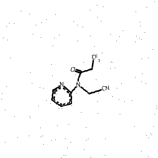 N#CCN(C(=O)CC(F)(F)F)c1ccccn1